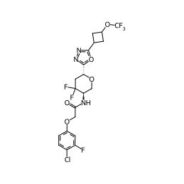 O=C(COc1ccc(Cl)c(F)c1)N[C@@H]1CO[C@@H](c2nnc(C3CC(OC(F)(F)F)C3)o2)CC1(F)F